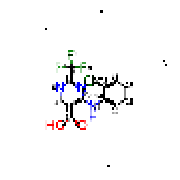 O=C(O)c1cnc(C(F)(F)F)nc1Nc1ccccc1Cl